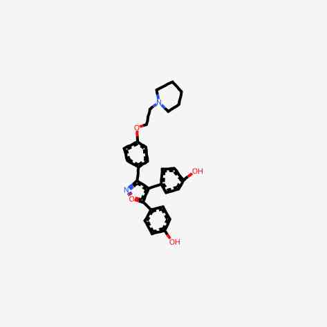 Oc1ccc(-c2onc(-c3ccc(OCCN4CCCCC4)cc3)c2-c2ccc(O)cc2)cc1